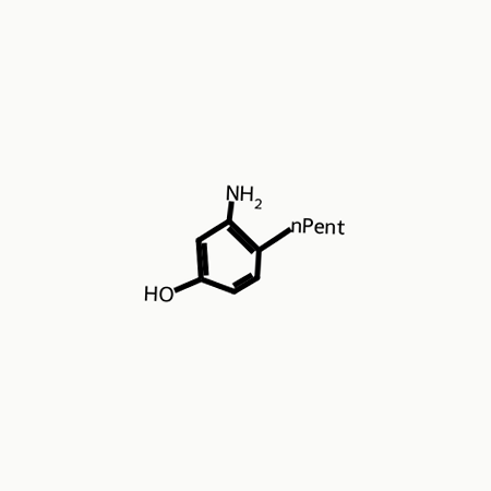 CCCCCc1ccc(O)cc1N